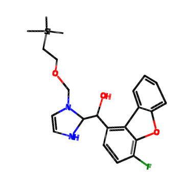 C[Si](C)(C)CCOCN1C=CNC1C(O)c1ccc(F)c2oc3ccccc3c12